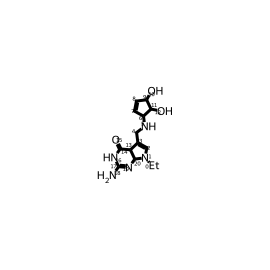 CCN1C=C(CNC2C=CC(O)C2O)C2C(=O)NC(N)=NC21